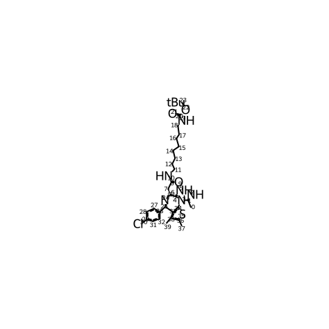 CC(=N)N1C(=N)[C@H](CC(=O)NCCCCCCCCNC(=O)OC(C)(C)C)N=C(c2ccc(Cl)cc2)c2c1sc(C)c2C